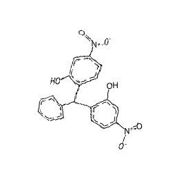 O=[N+]([O-])c1ccc(C(c2ccccc2)c2ccc([N+](=O)[O-])cc2O)c(O)c1